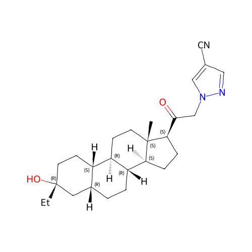 CC[C@@]1(O)CC[C@H]2[C@H](CC[C@@H]3[C@@H]2CC[C@]2(C)[C@@H](C(=O)Cn4cc(C#N)cn4)CC[C@@H]32)C1